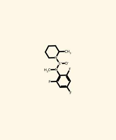 CC1CCCCN1[S+]([O-])N(C)c1c(F)cc(F)cc1F